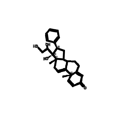 C[C@]12C=CC(=O)C=C1CCC1C2=CC[C@@]2(C)C1C[C@H](c1ccccc1)[C@]2(O)C(O)CO